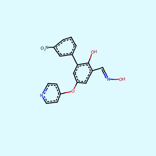 O=[N+]([O-])c1cccc(-c2cc(Oc3ccncc3)cc(C=NO)c2O)c1